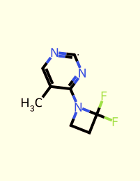 Cc1cn[c]nc1N1CCC1(F)F